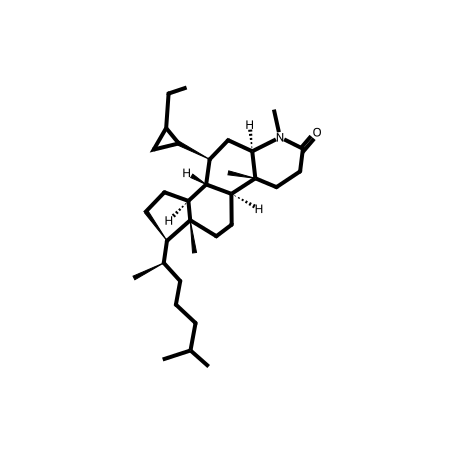 CCC1CC1[C@H]1C[C@H]2N(C)C(=O)CC[C@]2(C)[C@H]2CC[C@]3(C)[C@@H]([C@H](C)CCCC(C)C)CC[C@H]3[C@H]12